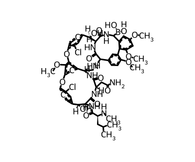 CN[C@@H](CC(C)C)C(=O)N[C@H]1C(=O)N[C@@H](CC(N)=O)C(=O)N[C@H]2CN[C@H]3C(=O)N[C@H](C(=O)NC(B(O)O)c4cc(OC)cc(OC)c4-c4cc3ccc4OC)[C@H](O)c3ccc(c(Cl)c3)Oc3cc2cc(c3OC)Oc2ccc(cc2Cl)[C@H]1O